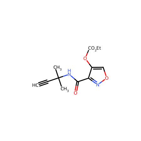 C#CC(C)(C)NC(=O)c1nocc1OC(=O)OCC